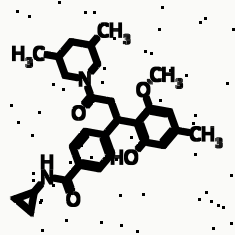 COc1cc(C)cc(O)c1C(CC(=O)N1CC(C)CC(C)C1)c1ccc(C(=O)NC2CC2)cc1